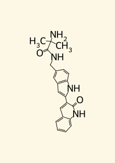 CC(C)(N)C(=O)NCc1ccc2[nH]c(-c3cc4ccccc4[nH]c3=O)cc2c1